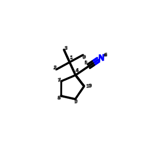 CC(C)(C)C1(C#N)CCCC1